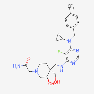 NC(=O)CN1CC[C@@](CO)(CNc2ncnc(N(Cc3ccc(C(F)(F)F)cc3)C3CC3)c2F)[C@@H](O)C1